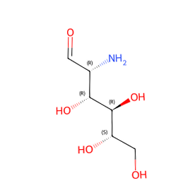 N[C@@H](C=O)[C@@H](O)[C@@H](O)[C@@H](O)CO